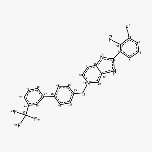 Fc1cccc(-c2nc3ccn(Cc4ccc(-c5cccc(C(F)(F)F)c5)cc4)cc-3n2)c1F